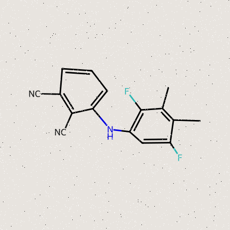 Cc1c(F)cc(Nc2cccc(C#N)c2C#N)c(F)c1C